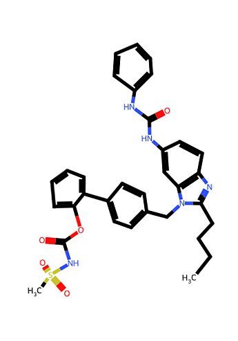 CCCCc1nc2ccc(NC(=O)Nc3ccccc3)cc2n1Cc1ccc(-c2ccccc2OC(=O)NS(C)(=O)=O)cc1